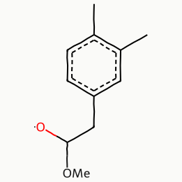 COC([O])Cc1ccc(C)c(C)c1